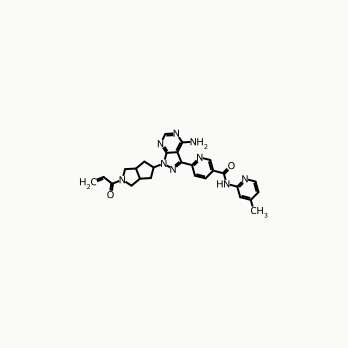 C=CC(=O)N1CC2CC(n3nc(-c4ccc(C(=O)Nc5cc(C)ccn5)cn4)c4c(N)ncnc43)CC2C1